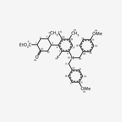 CCOC(=O)C1CC(C)C(c2c(F)c(N(Cc3ccc(OC)cc3)Cc3ccc(OC)cc3)cc(C)c2I)CC1=O